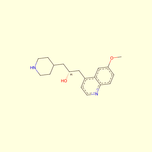 COc1ccc2nccc(C[C@H](O)CC3CCNCC3)c2c1